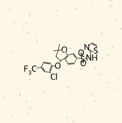 CC1(C)CC(Oc2ccc(C(F)(F)F)cc2Cl)c2ccc(S(=O)(=O)Nc3nccs3)cc2O1